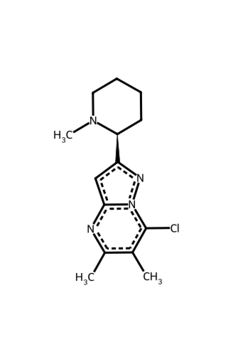 Cc1nc2cc([C@@H]3CCCCN3C)nn2c(Cl)c1C